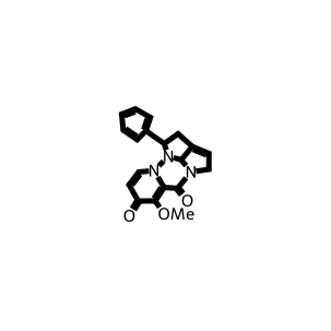 COc1c2n(ccc1=O)N1C(c3ccccc3)CC3=CCN(C2=O)C31